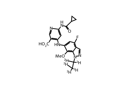 [2H]C([2H])([2H])C([2H])([2H])n1ncc2c(F)cc(Nc3cc(NC(=O)C4CC4)ncc3C(=O)O)c(OC)c21